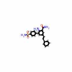 NC(=O)c1cc(/C=C/c2ccccc2)cc(-c2ccc(S(N)(=O)=O)cc2)c1N